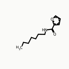 CCCCCCCNC(=O)c1ccco1